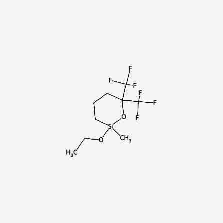 CCO[Si]1(C)CCCC(C(F)(F)F)(C(F)(F)F)O1